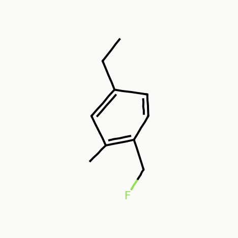 CCc1ccc(CF)c(C)c1